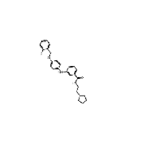 O=C(NCCC1CCCC1)c1cccc(Nc2ccc(OCc3ccccc3F)cc2)c1